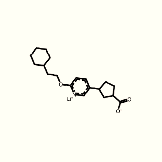 O=C([O-])C1CCC(c2ccc(OCCC3CCCCC3)nc2)C1.[Li+]